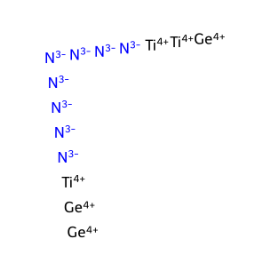 [Ge+4].[Ge+4].[Ge+4].[N-3].[N-3].[N-3].[N-3].[N-3].[N-3].[N-3].[N-3].[Ti+4].[Ti+4].[Ti+4]